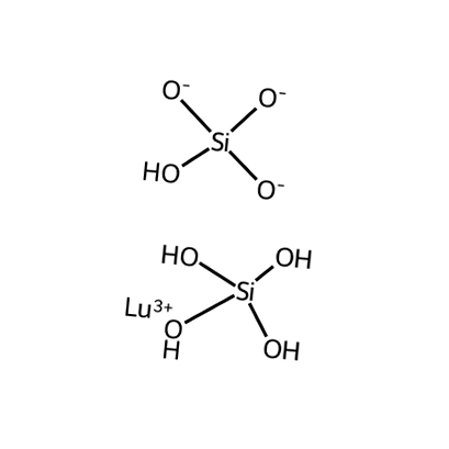 O[Si](O)(O)O.[Lu+3].[O-][Si]([O-])([O-])O